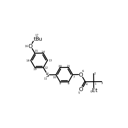 CCC(C)(C)C(=O)Oc1ccc(Sc2ccc(OC(C)(C)C)cc2)cc1